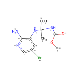 CC(C)(C)OC(=O)NC(C)(Nc1cc(Br)cnc1N)C(=O)O